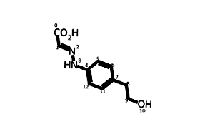 O=C(O)C=NNc1ccc(CCO)cc1